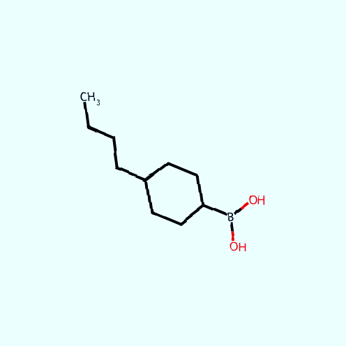 CCCCC1CCC(B(O)O)CC1